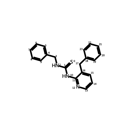 S=C(NCc1ccccc1)Nc1ncccc1Cc1ccccc1